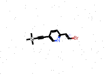 C[Si](C)(C)C#Cc1ccc(/C=C/Br)nc1